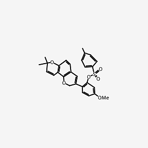 COc1ccc(C2=Cc3ccc4c(c3OC2)C=CC(C)(C)O4)c(OS(=O)(=O)c2ccc(C)cc2)c1